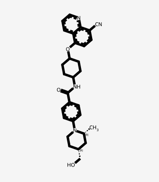 C[C@@H]1C[C@H](CO)CCN1c1ccc(C(=O)NC2CCC(Oc3ccc(C#N)c4ncccc34)CC2)cc1